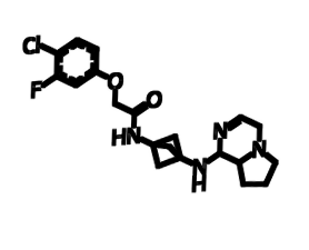 O=C(COc1ccc(Cl)c(F)c1)NC12CC(NC3N=CCN4CCCC34)(C1)C2